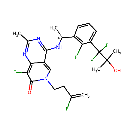 C=C(F)CCn1cc2c(N[C@H](C)c3cccc(C(F)(F)C(C)(C)O)c3F)nc(C)nc2c(F)c1=O